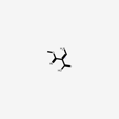 COC(=N)/C(=C\N)C(=O)O